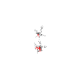 c1ccc(-n2c3ccccc3c3cccc(-c4nc(-c5cc6c(cc5-n5c7cc8ccccc8cc7c7c8ccccc8ccc75)oc5cc(-c7ccc8cc(-c9nc(-c%10cc%11c(cc%10-n%10c%12ccccc%12c%12cc%13ccccc%13cc%12%10)oc%10c%12ccccc%12ccc%11%10)nc(-c%10cccc%11ccccc%10%11)n9)c9ccccc9c8c7)ccc56)nc(-c5cccc6c5sc5ccccc56)n4)c32)cc1